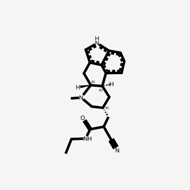 CCNC(=O)C(C#N)C[C@H]1C[C@@H]2c3cccc4[nH]cc(c34)C[C@H]2N(C)C1